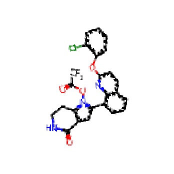 O=C1NCCc2c1cc(-c1cccc3ccc(Oc4ccccc4Cl)nc13)n2OC(=O)C(F)(F)F